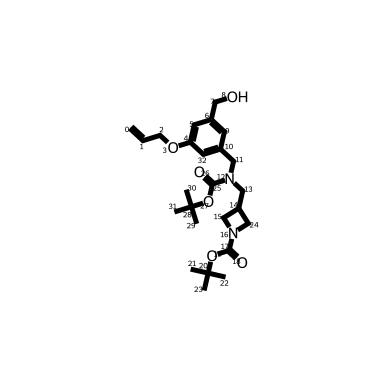 C=CCOc1cc(CO)cc(CN(CC2CN(C(=O)OC(C)(C)C)C2)C(=O)OC(C)(C)C)c1